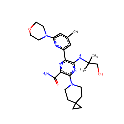 CC(C)(CO)Nc1nc(N2CCC3(CC2)CC3)c(C(N)=O)nc1-c1cc(C#N)cc(N2CCOCC2)n1